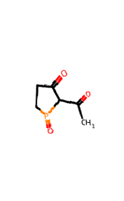 CC(=O)C1C(=O)CC[P]1=O